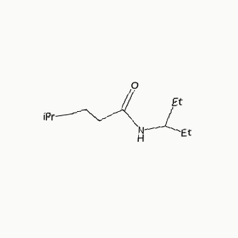 CCC(CC)NC(=O)CCC(C)C